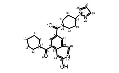 O=C(c1cc(C(=O)N2CCCCC2)c2cc(O)ncc2c1)N1CCC(n2cccn2)CC1